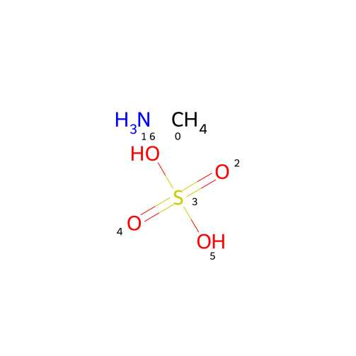 C.N.O=S(=O)(O)O